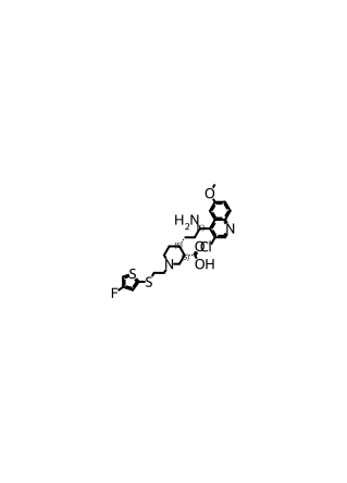 COc1ccc2ncc(Cl)c([C@@H](N)CC[C@H]3CCN(CCSc4cc(F)cs4)C[C@H]3C(=O)O)c2c1